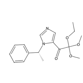 CCOC(OC)(OC)C(=O)c1cncn1[C@H](C)c1ccccc1